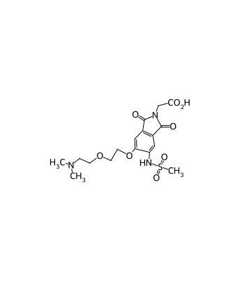 CN(C)CCOCCOc1cc2c(cc1NS(C)(=O)=O)C(=O)N(CC(=O)O)C2=O